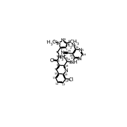 Cc1cc(CNC(=O)c2cc3cccc(Cl)c3nc2C(C)Nc2ncnc(N)c2C#N)n(C)n1